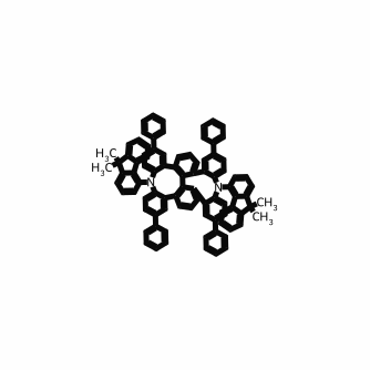 CC1(C)c2ccccc2-c2c(-n3c4ccc(-c5ccccc5)cc4c4cccc5c6cc(-c7ccccc7)ccc6n(-c6cccc7c6-c6ccccc6C7(C)C)c6ccc(-c7ccccc7)cc6c6cccc(c7cc(-c8ccccc8)ccc73)c6c45)cccc21